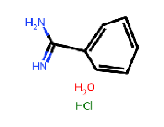 Cl.N=C(N)c1ccccc1.O